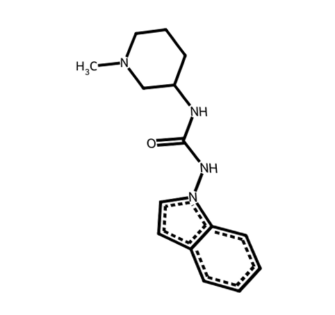 CN1CCCC(NC(=O)Nn2ccc3ccccc32)C1